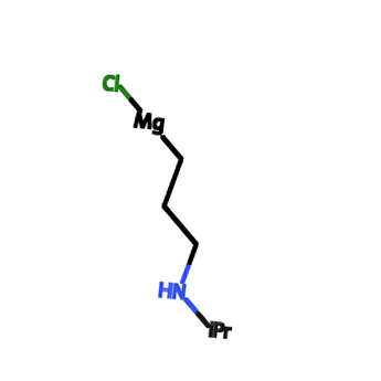 CC(C)NCC[CH2][Mg][Cl]